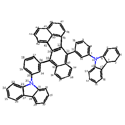 C1=CCC2C(=C1)N(c1cccc(-c3c4c(c(-c5cccc(-n6c7ccccc7c7ccccc76)c5)c5ccccc35)-c3cccc5cccc-4c35)c1)c1ccccc12